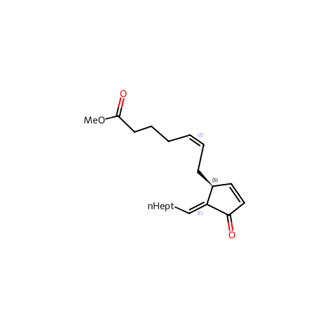 CCCCCCC/C=C1/C(=O)C=C[C@@H]1C/C=C\CCCC(=O)OC